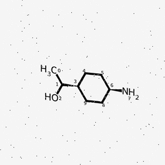 CC(O)[C@H]1CC[C@@H](N)CC1